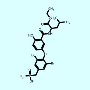 CCOC(=O)C(CC(C)C)NC(=O)c1cc(Oc2c(Br)cc(CP(C)(=O)O)cc2Br)ccc1O